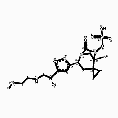 CNCCNC[C@@H](O)c1cc([C@@H]2CC3(CC3)[C@@H]3CN2C(=O)N3OS(=O)(=O)O)no1